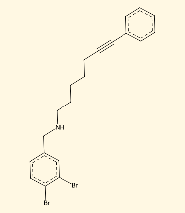 Brc1ccc(CNCCCCCC#Cc2ccccc2)cc1Br